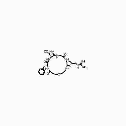 N=C(N)NCCC[C@@H]1NC(=O)CNC(=O)[C@H](CC(=O)O)NC(=O)[C@@H](Cc2ccccc2)NC(=O)CCOCCNC1=O